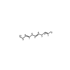 CC=CCC=CCC=CCC